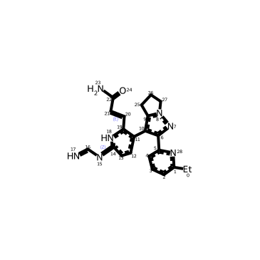 CCc1cccc(-c2nn3c(c2-c2cc/c(=N/C=N)[nH]c2/C=C/C(N)=O)CCC3)n1